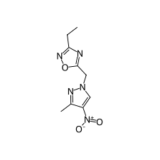 CCc1noc(Cn2cc([N+](=O)[O-])c(C)n2)n1